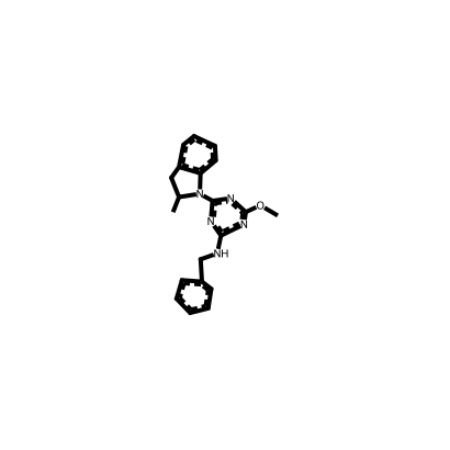 COc1nc(NCc2ccccc2)nc(N2c3ccccc3CC2C)n1